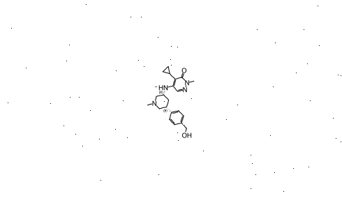 CN1C[C@H](Nc2cnn(C)c(=O)c2C2CC2)C[C@H](c2ccc(CO)cc2)C1